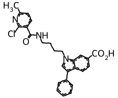 Cc1ccc(C(=O)NCCCCn2cc(-c3ccccc3)c3ccc(C(=O)O)cc32)c(Cl)n1